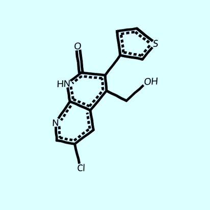 O=c1[nH]c2ncc(Cl)cc2c(CO)c1-c1ccsc1